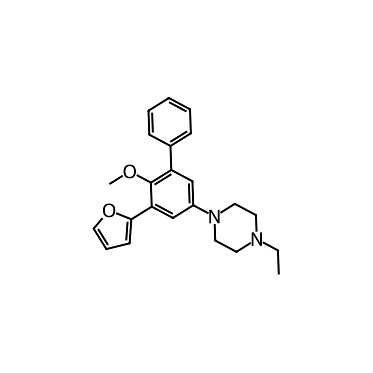 CCN1CCN(c2cc(-c3ccccc3)c(OC)c(-c3ccco3)c2)CC1